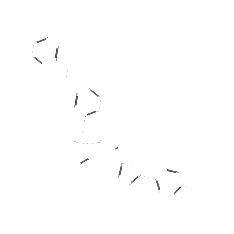 O=C(O)C1(NS(=O)(=O)c2ccc(-c3ccc(Cl)cc3)s2)C[C@H]1c1cccc(OCc2ccccc2)c1